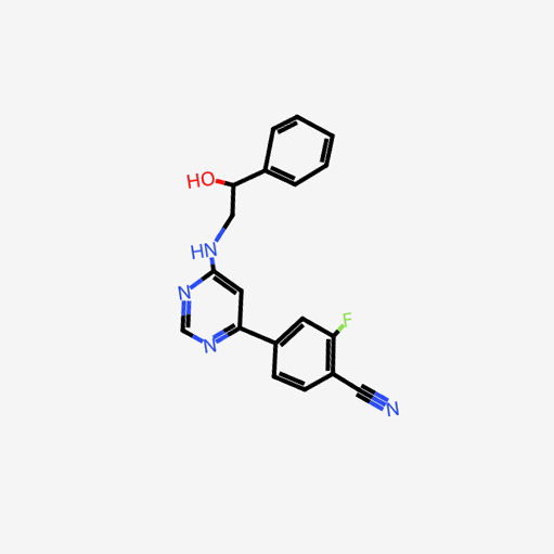 N#Cc1ccc(-c2cc(NCC(O)c3ccccc3)ncn2)cc1F